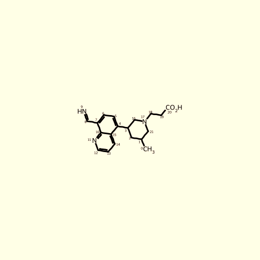 CC1CC(c2ccc(C=N)c3ncccc23)CN(CCC(=O)O)C1